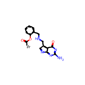 CC(C)C(=O)Oc1ccccc1CNCC1=C2C(=O)N=C(N)N=C2N=C1